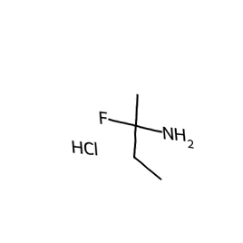 CCC(C)(N)F.Cl